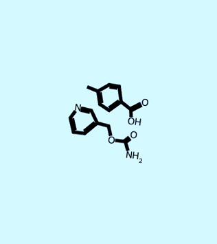 Cc1ccc(C(=O)O)cc1.NC(=O)OCc1cccnc1